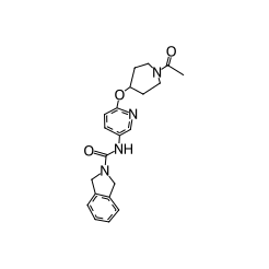 CC(=O)N1CCC(Oc2ccc(NC(=O)N3Cc4ccccc4C3)cn2)CC1